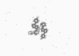 Cc1ccc(-c2cccc3c2C=[C]([Zr+2][C]2=Cc4c(-c5ccc(C)cc5)cccc4C2c2ccccn2)C3c2ccccn2)cc1.[Cl-].[Cl-]